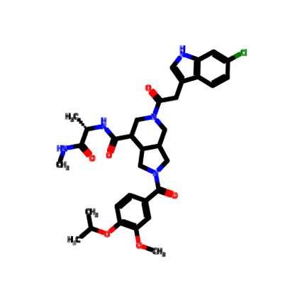 CNC(=O)[C@H](C)NC(=O)C1CN(C(=O)Cc2c[nH]c3cc(Cl)ccc23)CC2CN(C(=O)c3ccc(OC(C)C)c(OC)c3)CC21